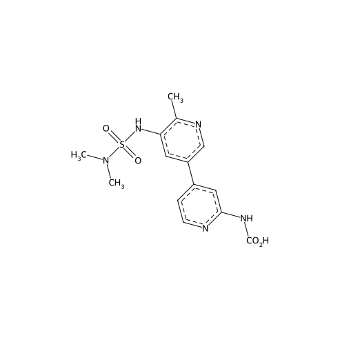 Cc1ncc(-c2ccnc(NC(=O)O)c2)cc1NS(=O)(=O)N(C)C